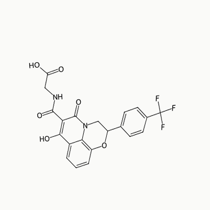 O=C(O)CNC(=O)c1c(O)c2cccc3c2n(c1=O)CC(c1ccc(C(F)(F)F)cc1)O3